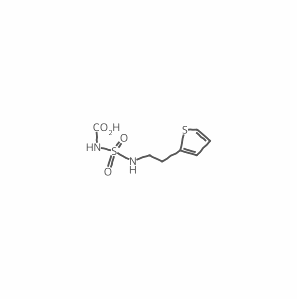 O=C(O)NS(=O)(=O)NCCc1cccs1